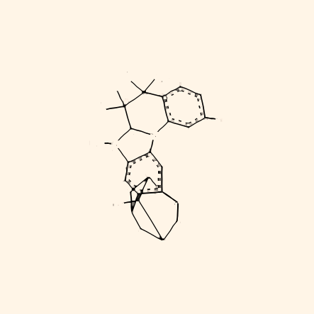 CCCCC1C2CC3CC1CC(C2)c1cc2c(cc13)N(C)C1N2c2cc(Br)ccc2C(C)(CC)C1(C)CC